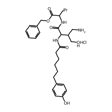 CC(C)C(NC(=O)C(NC(=O)CCCCCc1ccc(O)cc1)C(CN)CO)C(=O)OCc1ccccc1.Cl